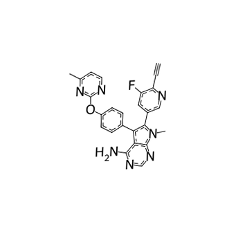 C#Cc1ncc(-c2c(-c3ccc(Oc4nccc(C)n4)cc3)c3c(N)ncnc3n2C)cc1F